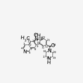 Cc1c2ccncc2cc2c3cc(C(=O)N4CCNCC4)ccc3n(C)c12